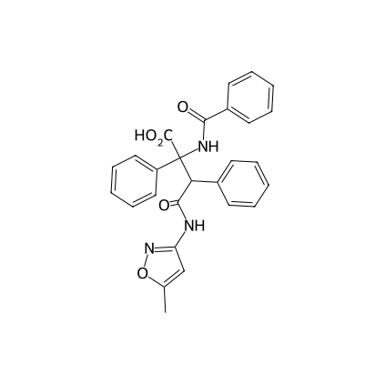 Cc1cc(NC(=O)C(c2ccccc2)C(NC(=O)c2ccccc2)(C(=O)O)c2ccccc2)no1